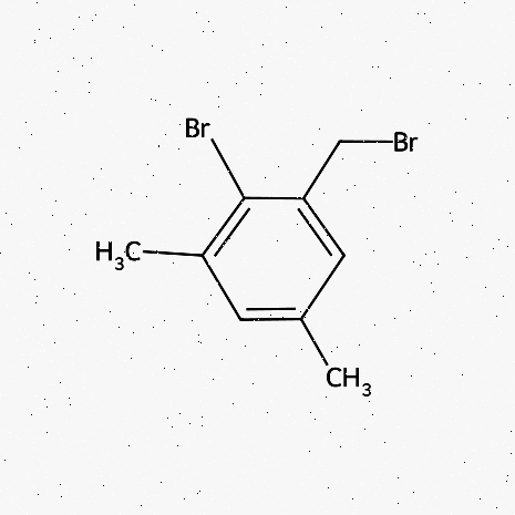 Cc1cc(C)c(Br)c(CBr)c1